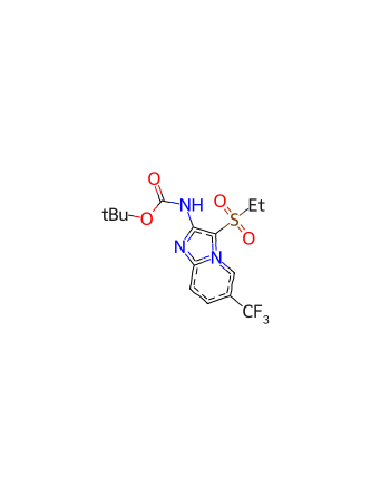 CCS(=O)(=O)c1c(NC(=O)OC(C)(C)C)nc2ccc(C(F)(F)F)cn12